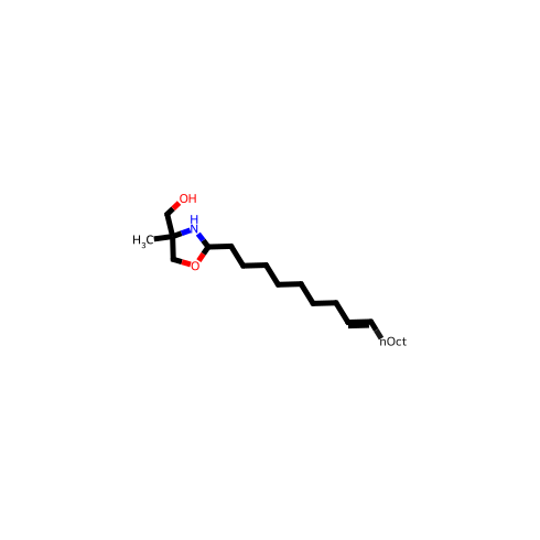 CCCCCCCC/C=C/CCCCCCCC1NC(C)(CO)CO1